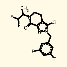 CC(C(F)F)N1CCc2c(nn(Cc3cc(F)cc(F)c3)c2Cl)C1=O